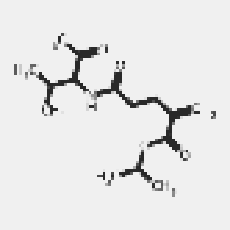 C=C(CCC(=O)NC(C(C)=O)C(C)C)C(=O)OC(C)C